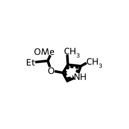 CCC(OC)Oc1c[nH]c(C)c1C